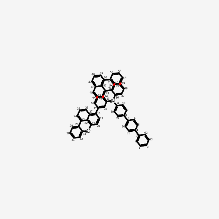 c1ccc(-c2ccc(-c3ccc(N(c4cccc(-c5ccc6c7c(cccc57)-c5ccccc5O6)c4)c4ccccc4-c4cccc5cccc(-c6ccccc6)c45)cc3)cc2)cc1